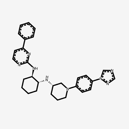 c1ccc(-c2ccnc(N[C@@H]3CCCC[C@H]3N[C@H]3CCCN(c4ccc(-n5cncn5)cc4)C3)n2)cc1